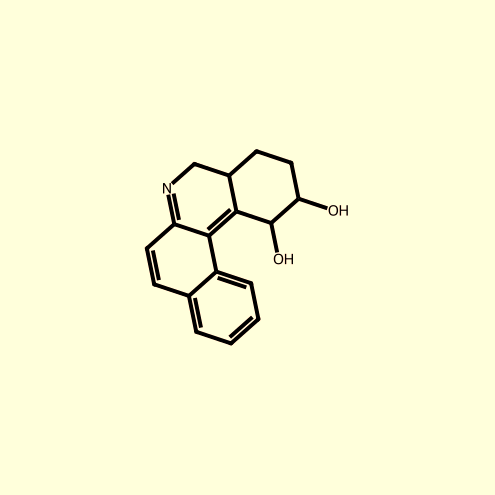 OC1CCC2CN=c3ccc4ccccc4c3=C2C1O